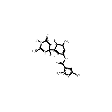 CC1C=C(NC(=O)c2cc(C#N)nn2C)C=C(C2(C)CC(=O)N(C)C(N)=N2)C1F